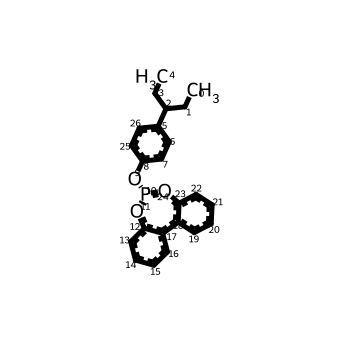 CCC(CC)c1ccc(Op2oc3ccccc3c3ccccc3o2)cc1